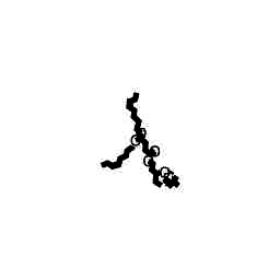 [CH2]CC(CCOC(=O)CCC(OCCCC/C=C\CC)OCCCC/C=C\CC)O[Si](C)(C)C(C)(C)C